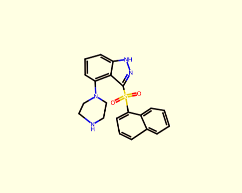 O=S(=O)(c1cccc2ccccc12)c1n[nH]c2cccc(N3CCNCC3)c12